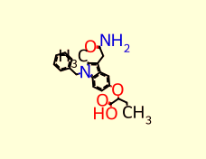 CCC(Oc1ccc2c(c1)c(CC(N)=O)c(C)n2Cc1ccccc1)C(=O)O